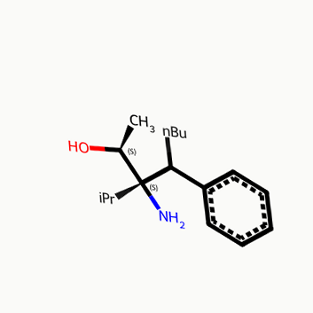 CCCCC(c1ccccc1)[C@@](N)(C(C)C)[C@H](C)O